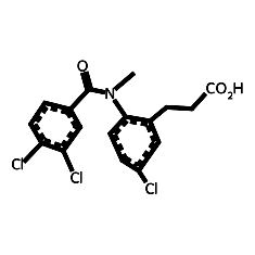 CN(C(=O)c1ccc(Cl)c(Cl)c1)c1ccc(Cl)cc1CCC(=O)O